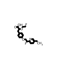 CCc1ccc(C(F)COc2ccc(CC(OCCF)C(=O)O)cc2)nc1